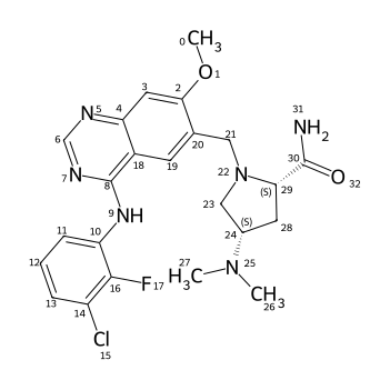 COc1cc2ncnc(Nc3cccc(Cl)c3F)c2cc1CN1C[C@@H](N(C)C)C[C@H]1C(N)=O